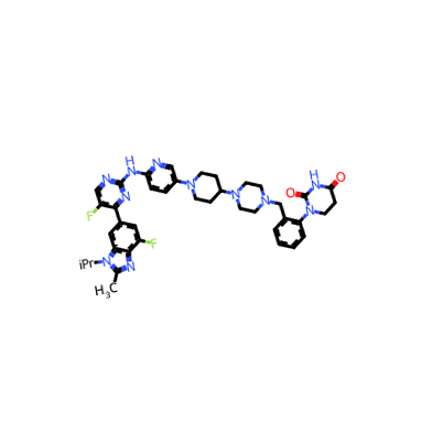 Cc1nc2c(F)cc(-c3nc(Nc4ccc(N5CCC(N6CCN(Cc7ccccc7N7CCC(=O)NC7=O)CC6)CC5)cn4)ncc3F)cc2n1C(C)C